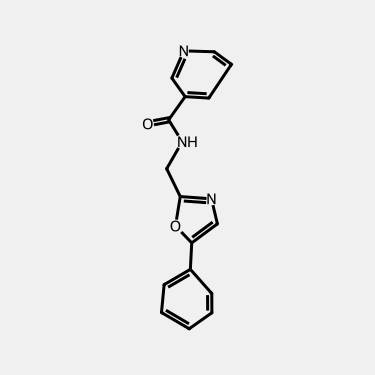 O=C(NCc1ncc(-c2ccccc2)o1)c1cccnc1